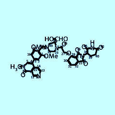 COc1cc(-c2cn(C)c(=O)c3cnccc23)cc(OC)c1CN1CCN(C(=O)COc2cccc3c2C(=O)N(C2CCC(=O)NC2=O)C3=O)CC1.O=CO